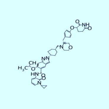 CC(C)Oc1cc2nn([C@H]3CC[C@H](CN4CCOC[C@H]4Cc4ccc(OC5CCC(=O)NC5=O)cc4)CC3)cc2cc1C(=O)Nc1cccn(C2CC2)c1=O